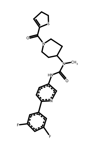 CN(C(=O)Nc1ccc(-c2cc(F)cc(F)c2)nc1)C1CCN(C(=O)C2=CCCS2)CC1